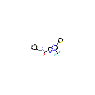 O=C(NCc1ccccc1)c1cc2nc(-c3cccs3)cc(C(F)(F)F)n2n1